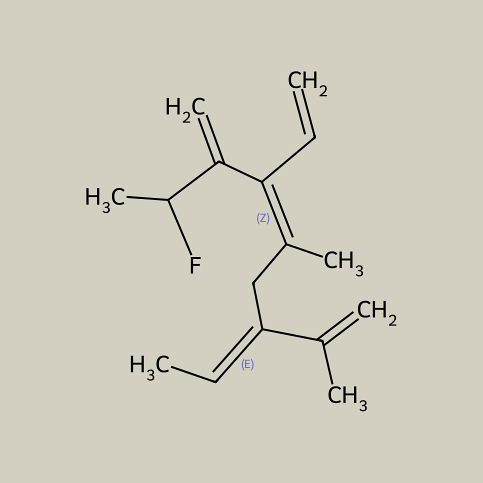 C=C/C(C(=C)C(C)F)=C(\C)C/C(=C\C)C(=C)C